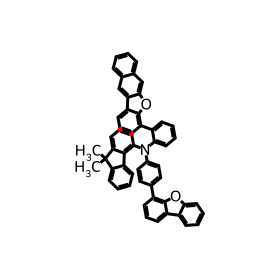 CC1(C)c2ccccc2-c2c(N(c3ccc(-c4cccc5c4oc4ccccc45)cc3)c3ccccc3-c3cccc4c3oc3cc5ccccc5cc34)cccc21